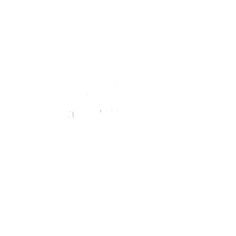 O=C(O)C1(Cl)C=CC=CC1CCCc1ccccc1